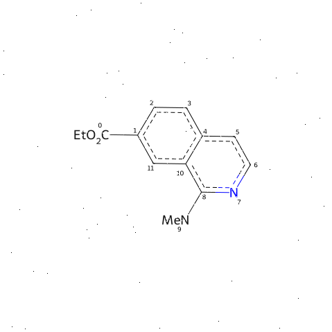 CCOC(=O)c1ccc2ccnc(NC)c2c1